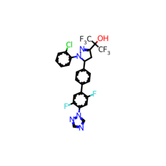 OC(C1=NN(c2ccccc2Cl)C(c2ccc(-c3cc(F)c(-n4cncn4)cc3F)cc2)C1)(C(F)(F)F)C(F)(F)F